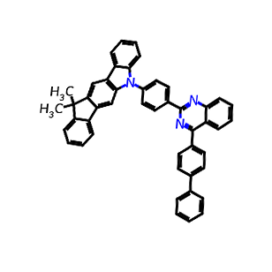 CC1(C)c2ccccc2-c2cc3c(cc21)c1ccccc1n3-c1ccc(-c2nc(-c3ccc(-c4ccccc4)cc3)c3ccccc3n2)cc1